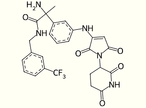 CC(N)(C(=O)NCc1cccc(C(F)(F)F)c1)c1cccc(NC2=CC(=O)N(C3CCC(=O)NC3=O)C2=O)c1